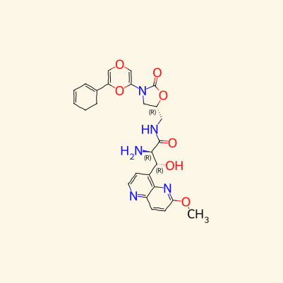 COc1ccc2nccc([C@@H](O)[C@@H](N)C(=O)NC[C@@H]3CN(C4=COC=C(C5=CC=CCC5)O4)C(=O)O3)c2n1